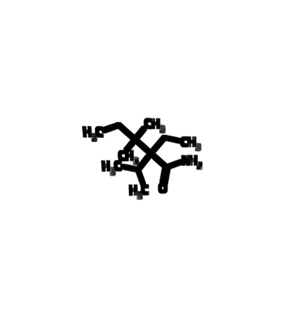 CCC(C)(C)C(CC)(C(N)=O)C(C)C